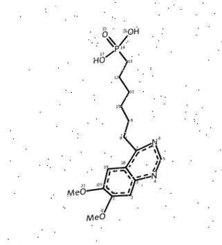 COc1cc2ncnc(CCCCCCP(=O)(O)O)c2cc1OC